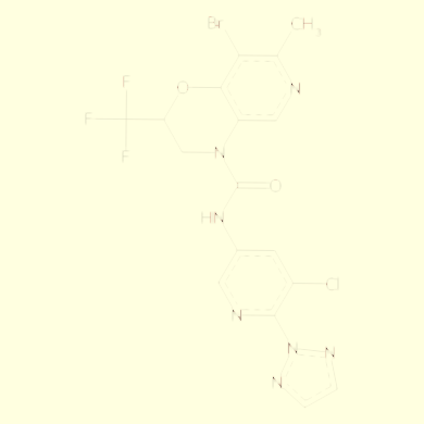 Cc1ncc2c(c1Br)OC(C(F)(F)F)CN2C(=O)Nc1cnc(-n2nccn2)c(Cl)c1